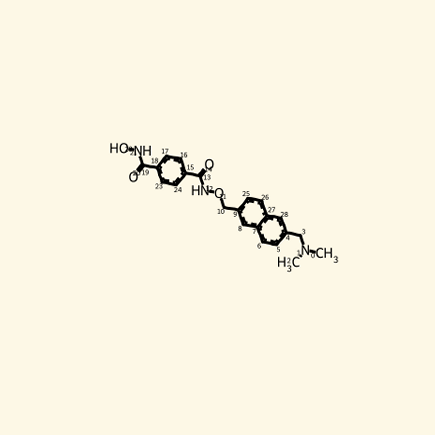 CN(C)Cc1ccc2cc(CONC(=O)c3ccc(C(=O)NO)cc3)ccc2c1